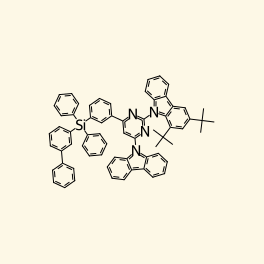 CC(C)(C)c1cc(C(C)(C)C)c2c(c1)c1ccccc1n2-c1nc(-c2cccc([Si](c3ccccc3)(c3ccccc3)c3cccc(-c4ccccc4)c3)c2)cc(-n2c3ccccc3c3ccccc32)n1